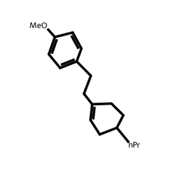 CCCC1CC=C(CCc2ccc(OC)cc2)CC1